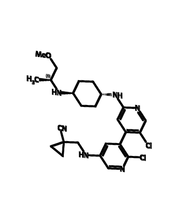 COC[C@H](C)N[C@H]1CC[C@H](Nc2cc(-c3cc(NCC4(C#N)CC4)cnc3Cl)c(Cl)cn2)CC1